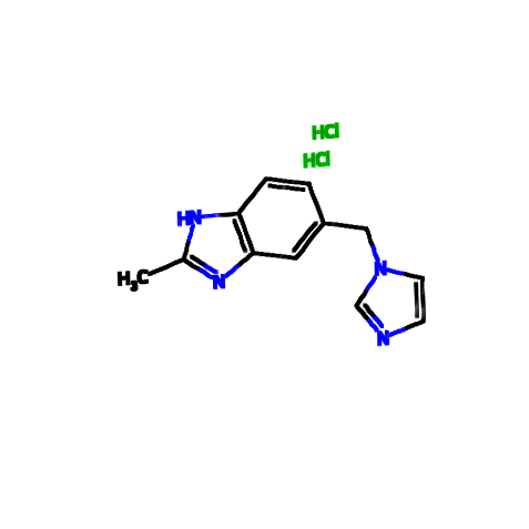 Cc1nc2cc(Cn3ccnc3)ccc2[nH]1.Cl.Cl